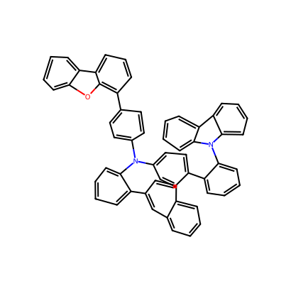 c1ccc(N(c2ccc(-c3ccccc3-n3c4ccccc4c4ccccc43)cc2)c2ccc(-c3cccc4c3oc3ccccc34)cc2)c(-c2ccc3ccccc3c2)c1